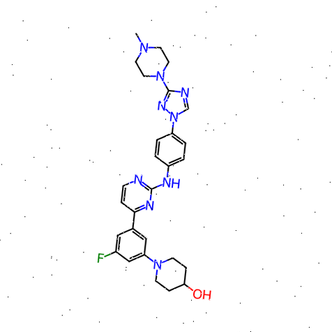 CN1CCN(c2ncn(-c3ccc(Nc4nccc(-c5cc(F)cc(N6CCC(O)CC6)c5)n4)cc3)n2)CC1